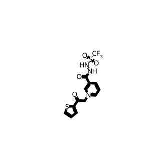 O=C(NNS(=O)(=O)C(F)(F)F)c1ccc[n+](CC(=O)c2cccs2)c1